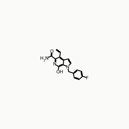 C=Cc1c(C(N)=O)nc(O)c2c1ccn2Cc1ccc(F)cc1